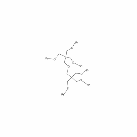 CC(C)OCC(COCC(COC(C)C)(COC(C)C)COC(C)C)(COC(C)C)COC(C)C